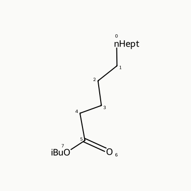 CCCCCCCCCCCC(=O)OC[C](C)C